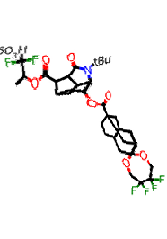 CC(OC(=O)C1C2CC3C1C(=O)N(C(C)(C)C)C3C2OC(=O)C12CCC3CC4(OCC(F)(F)C(F)(F)CO4)C(CC3C1)C2)C(F)(F)S(=O)(=O)O